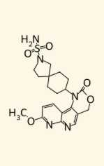 COc1ccc2c3c(cnc2n1)COC(=O)N3C1CCC2(CC1)CCN(S(N)(=O)=O)C2